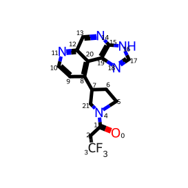 O=C(CC(F)(F)F)N1CCC(c2ccnc3cnc4[nH]cnc4c23)C1